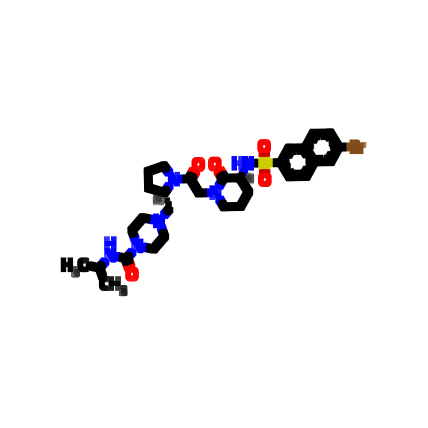 CC(C)NC(=O)N1CCN(C[C@@H]2CCCN2C(=O)CN2CCC[C@H](NS(=O)(=O)c3ccc4cc(Br)ccc4c3)C2=O)CC1